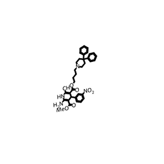 COC(=O)C1=C(N)NC(C)=C(C(=O)OCCCCN2CCC(c3ccccc3)(c3ccccc3)CC2)C1c1cccc([N+](=O)[O-])c1